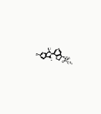 CC[C@@H]1c2cc(Cl)ccc2C(=O)N1c1cncc2c1CC[C@@H]2NS(C)(=O)=O